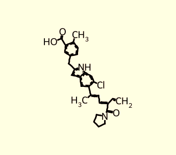 C=C/C(=C\C=C(/C)c1cc2cc(Cc3ccc(C)c(C(=O)O)c3)[nH]c2cc1Cl)C(=O)N1CCCC1